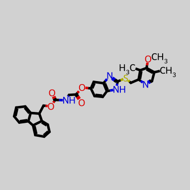 COc1c(C)cnc(CSc2nc3cc(OC(=O)CNC(=O)OCC4c5ccccc5-c5ccccc54)ccc3[nH]2)c1C